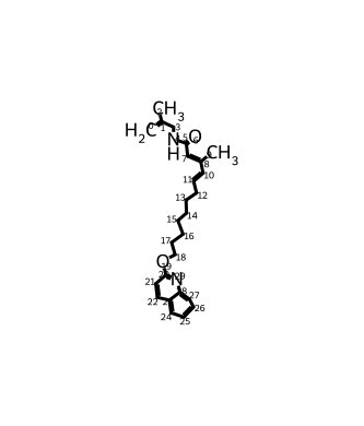 C=C(C)CNC(=O)C=C(C)C=CCCCCCCCOc1ccc2ccccc2n1